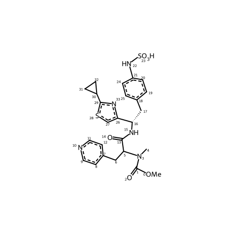 COC(=O)N(C)C(Cc1ccncc1)C(=O)N[C@@H](Cc1ccc(NS(=O)(=O)O)cc1)c1csc(C2CC2)n1